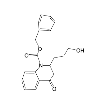 O=C1CC(CCCO)N(C(=O)OCc2ccccc2)c2ccccc21